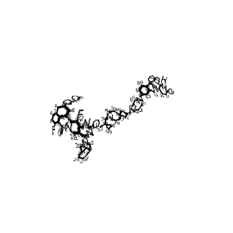 CCc1c(F)ccc2cc(OCOC)cc(-c3ncc4c(N5CC6CCC(C6)C5)nc(OCC5(CN6CCC7(CC6)CC(N6CCN(c8ccc9c(c8)CN([C@H]8CCC(=O)NC8=O)C9=O)CC6)C7)CC5)nc4c3F)c12